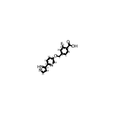 O=C(O)c1ccc(COc2ccc(-c3ccn[nH]3)nc2)cc1F